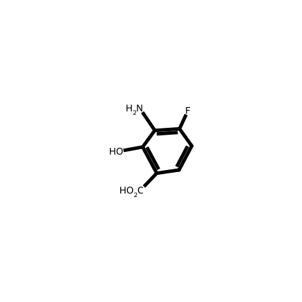 Nc1c(F)ccc(C(=O)O)c1O